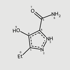 CCc1n[nH]c(C(N)=O)c1O